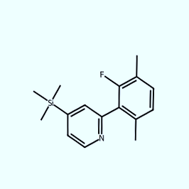 Cc1ccc(C)c(-c2cc([Si](C)(C)C)ccn2)c1F